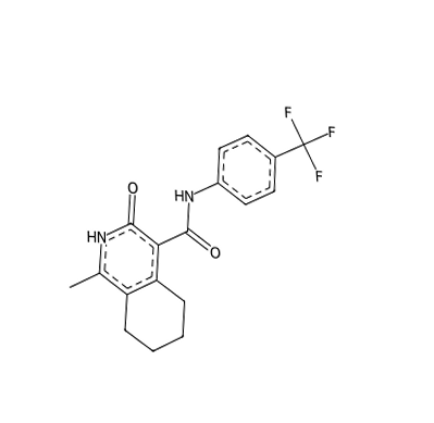 Cc1[nH]c(=O)c(C(=O)Nc2ccc(C(F)(F)F)cc2)c2c1CCCC2